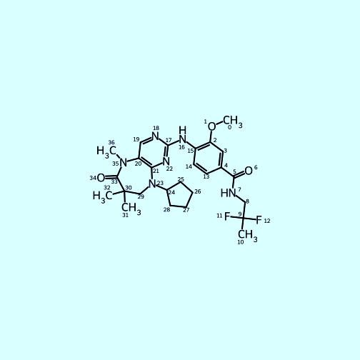 COc1cc(C(=O)NCC(C)(F)F)ccc1Nc1ncc2c(n1)N(C1CCCC1)CC(C)(C)C(=O)N2C